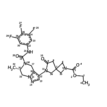 CCOC(=O)N1CC2(CC(=O)N(c3cnn4c3CN(C(=O)Nc3cc(F)c(F)c(F)c3)[C@@H](C)C4)C2)C1